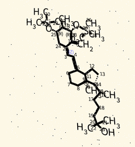 C=C1/C(=C\C=C2CCC[C@@]3(C)C2CC[C@@H]3[C@@H](C)CCCC(C)(C)O)C[C@@H](O[Si](C)(C)C)[C@@H](C)[C@H]1O[Si](C)(C)C